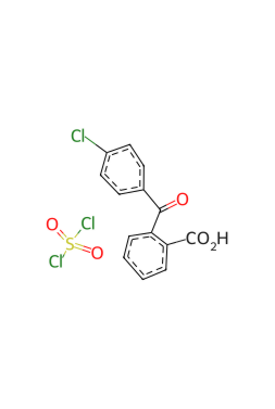 O=C(O)c1ccccc1C(=O)c1ccc(Cl)cc1.O=S(=O)(Cl)Cl